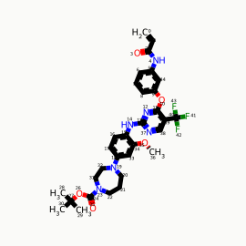 C=CC(=O)Nc1cccc(Oc2nc(Nc3ccc(N4CCCN(C(=O)OC(C)(C)C)CC4)cc3OC)ncc2C(F)(F)F)c1